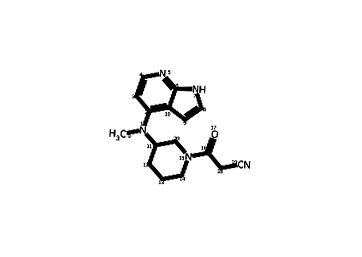 CN(c1ccnc2[nH]ccc12)C1CCCN(C(=O)CC#N)C1